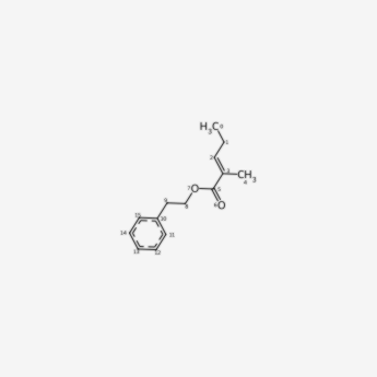 CCC=C(C)C(=O)OCCc1ccccc1